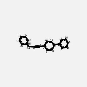 C(#Cc1ccc(-c2ccccc2)cc1)[CH]c1ccccc1